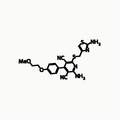 COCCOc1ccc(-c2c(C#N)c(N)nc(SCc3csc(N)n3)c2C#N)cc1